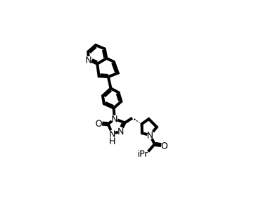 CC(C)C(=O)N1CC[C@@H](Cc2n[nH]c(=O)n2-c2ccc(-c3ccc4cccnc4c3)cc2)C1